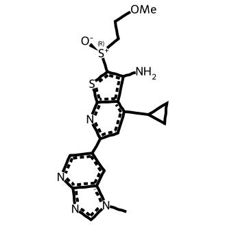 COCC[S@+]([O-])c1sc2nc(-c3cnc4ncn(C)c4c3)cc(C3CC3)c2c1N